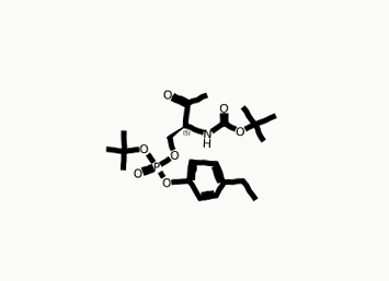 CCc1ccc(OP(=O)(OC[C@H](NC(=O)OC(C)(C)C)C(C)=O)OC(C)(C)C)cc1